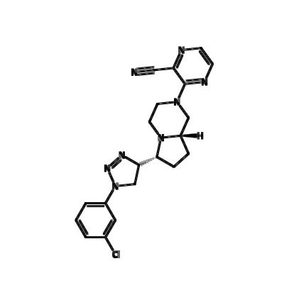 N#Cc1nccnc1N1CCN2[C@@H](CC[C@@H]2C2CN(c3cccc(Cl)c3)N=N2)C1